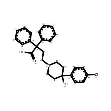 O=C(O)C(CCN1CCC(O)(c2ccc(Cl)cc2)CC1)(c1ccccc1)c1ccccc1